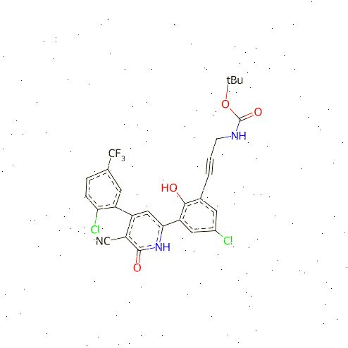 CC(C)(C)OC(=O)NCC#Cc1cc(Cl)cc(-c2cc(-c3cc(C(F)(F)F)ccc3Cl)c(C#N)c(=O)[nH]2)c1O